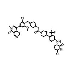 COc1cc(-c2cn(C)c(=O)c3cnccc23)cc(Cl)c1CN1CCC(CC(=O)N2CCC(c3ccc(NC4CCC(=O)NC4=O)cc3C(F)(F)F)CC2)CC1